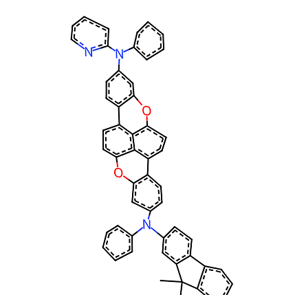 CC1(C)c2ccccc2-c2ccc(N(c3ccccc3)c3ccc4c(c3)Oc3ccc5c6c(ccc-4c36)Oc3cc(N(c4ccccc4)c4ccccn4)ccc3-5)cc21